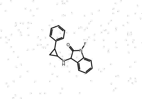 O=C1C(NC2CC2c2ccccc2)c2ccccc2N1F